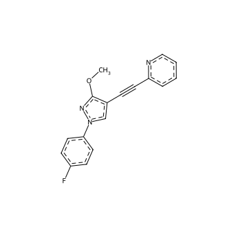 COc1nn(-c2ccc(F)cc2)cc1C#Cc1ccccn1